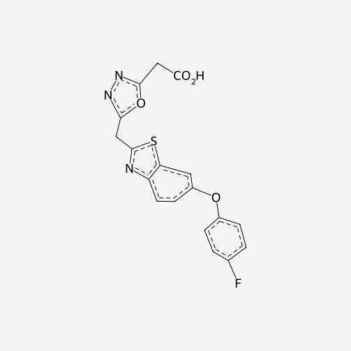 O=C(O)Cc1nnc(Cc2nc3ccc(Oc4ccc(F)cc4)cc3s2)o1